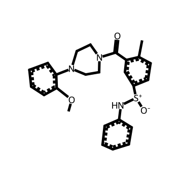 COc1ccccc1N1CCN(C(=O)c2cc([S+]([O-])Nc3ccccc3)ccc2C)CC1